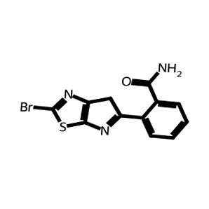 NC(=O)c1ccccc1C1=Nc2sc(Br)nc2C1